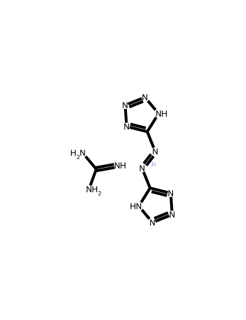 N(=N\c1nnn[nH]1)/c1nnn[nH]1.N=C(N)N